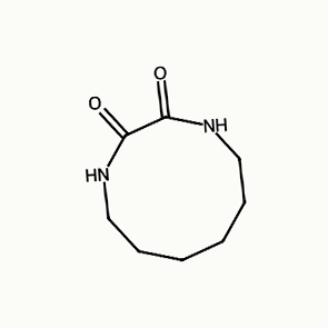 O=C1NCCCCCCNC1=O